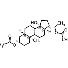 CC(=O)OC(C)[C@H]1CC[C@]2(O)C3CC[C@H]4C[C@@H](OC(C)=O)CC[C@]4(C)C3CC[C@H]12